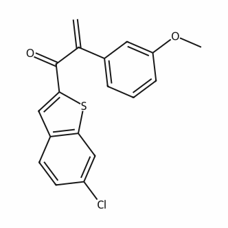 C=C(C(=O)c1cc2ccc(Cl)cc2s1)c1cccc(OC)c1